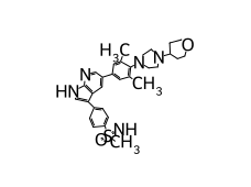 Cc1cc(-c2cnc3[nH]cc(-c4ccc(S(C)(=N)=O)cc4)c3c2)cc(C)c1N1CCN(C2CCOCC2)CC1